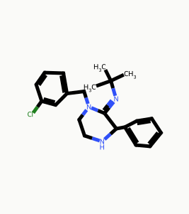 CC(C)(C)/N=C1/C(c2ccccc2)NCCN1Cc1cccc(Cl)c1